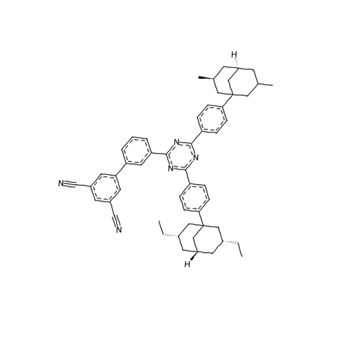 CC[C@@H]1C[C@@H]2C[C@H](CC)CC(c3ccc(-c4nc(-c5ccc(C67CC(C)C[C@H](C[C@H](C)C6)C7)cc5)nc(-c5cccc(-c6cc(C#N)cc(C#N)c6)c5)n4)cc3)(C2)C1